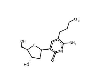 Nc1nc(=O)n([C@H]2C[C@H](O)[C@@H](CO)O2)cc1CCCC(F)(F)F